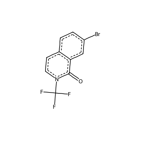 O=c1c2cc(Br)ccc2ccn1C(F)(F)F